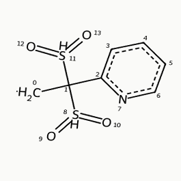 [CH2]C(c1ccccn1)([SH](=O)=O)[SH](=O)=O